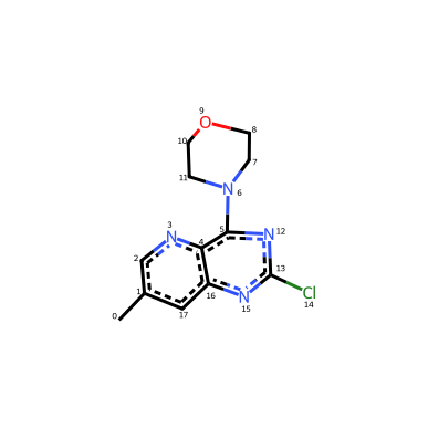 Cc1cnc2c(N3CCOCC3)nc(Cl)nc2c1